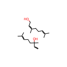 C=CC(C)(O)CCC=C(C)C.CC(C)=CCC/C(C)=C\CO